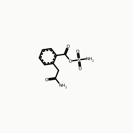 NC(=O)Cc1ccccc1C(=O)OS(N)(=O)=O